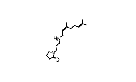 CC(C)=CCCC(C)=CCNCCCN1CCCC1=O